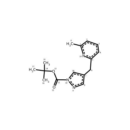 Cc1cccc(Cc2cnn(C(=O)OC(C)(C)C)c2)n1